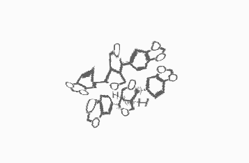 c1cc2c(cc1C1OCC3C(c4ccc5c(c4)OCO5)OCC13)OCO2.c1cc2c(cc1[C@H]1OC[C@H]3[C@@H]1CO[C@@H]3c1ccc3c(c1)OCO3)OCO2